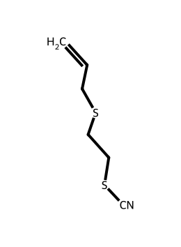 C=CCSCCSC#N